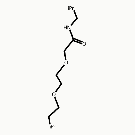 CC(C)CCOCCOCC(=O)NCC(C)C